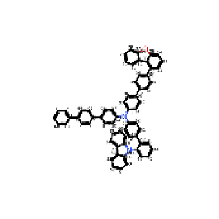 c1ccc(-c2ccc(-c3ccc(N(c4ccc(-c5ccc(-c6cccc7oc8ccccc8c67)cc5)cc4)c4ccc(-c5ccccc5-n5c6ccccc6c6ccccc65)cc4)cc3)cc2)cc1